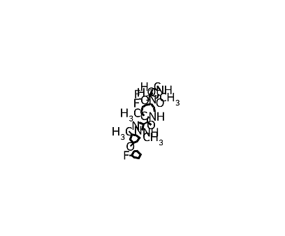 CNc1c(C(=O)c2cc(C)cc(OC(F)F)c(N(C=O)C(=O)C(C)(C)NC)cc[nH]2)cnn1-c1ccc(Oc2ccccc2F)cc1C